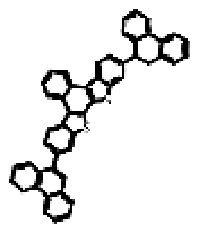 C1=Cc2c(-c3ccc4c(c3)sc3c5sc6cc(C7Cc8ccccc8-c8ccccc87)ccc6c5c5ccccc5c43)cc3ccccc3c2CC1